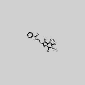 Cn1c(=O)c2nc(CCNC(=O)c3ccccc3)[nH]c2n(C)c1=O